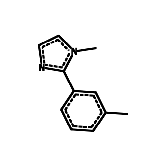 Cc1cccc(-c2nccn2C)c1